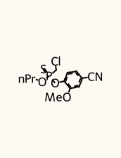 CCCOP(=S)(CCl)Oc1ccc(C#N)cc1OC